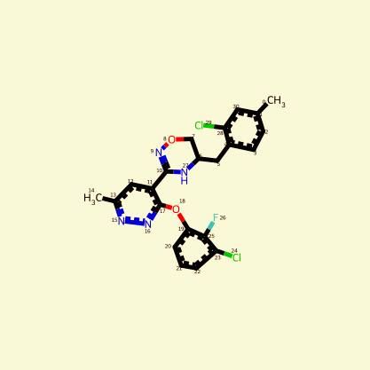 Cc1ccc(CC2CON=C(c3cc(C)nnc3Oc3cccc(Cl)c3F)N2)c(Cl)c1